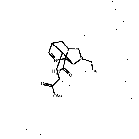 COC(=O)CCC1C2C=NC3(C(N)=O)C(C2)CN(CC(C)C)C13